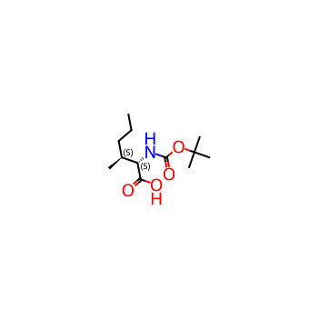 CCC[C@H](C)[C@H](NC(=O)OC(C)(C)C)C(=O)O